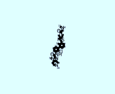 Cc1c(-c2nc3c(s2)CN(C(=O)CN(C)C)C3)cccc1-c1cccc(NC(=O)c2nc3c(n2C)CCN(C)C3)c1Cl